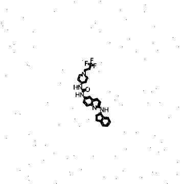 O=C(Nc1ccc2nc(N[C@@H]3CCc4ccccc43)ccc2c1)NC1CCN(CCC(F)(F)F)CC1